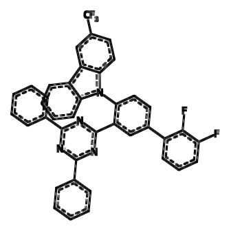 Fc1cccc(-c2ccc(-n3c4ccccc4c4cc(C(F)(F)F)ccc43)c(-c3nc(-c4ccccc4)nc(-c4ccccc4)n3)c2)c1F